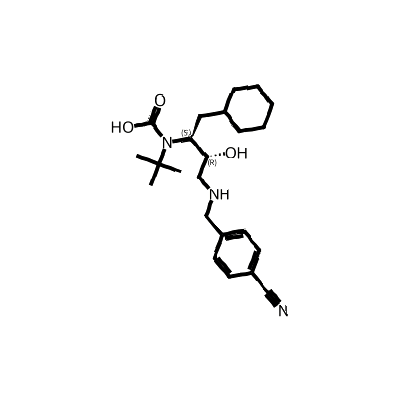 CC(C)(C)N(C(=O)O)[C@@H](CC1CCCCC1)[C@H](O)CNCc1ccc(C#N)cc1